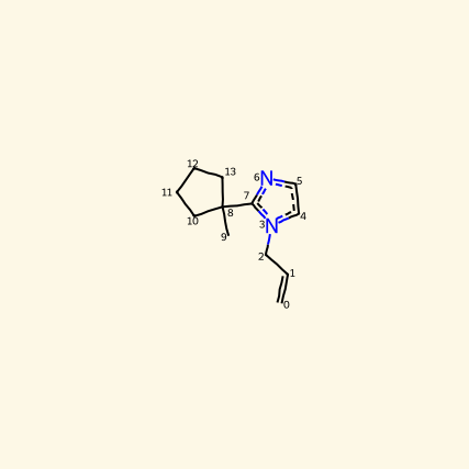 C=CCn1ccnc1C1(C)CCCC1